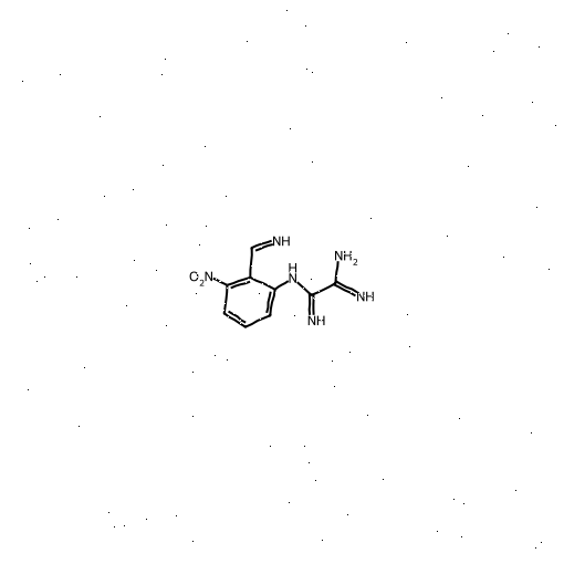 N=Cc1c(NC(=N)C(=N)N)cccc1[N+](=O)[O-]